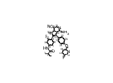 C=C(C)C(=O)Nc1ccc(-c2c(-c3ccc(Oc4ccc(F)cn4)cc3)c3c(N)ncc(C#N)c3n2C)c(F)c1